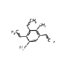 C=Cc1cc(C)c(C=C)c(C=C)c1C